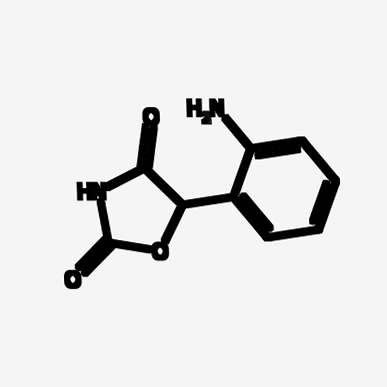 Nc1ccccc1C1OC(=O)NC1=O